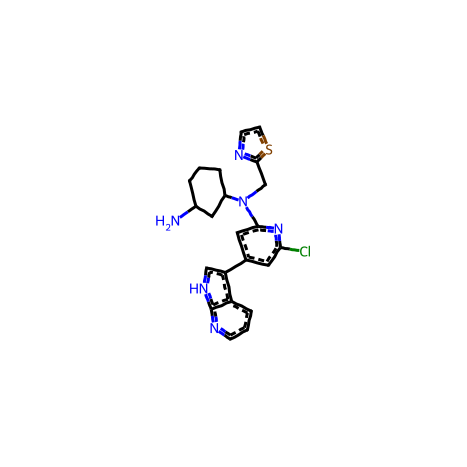 NC1CCCC(N(Cc2nccs2)c2cc(-c3c[nH]c4ncccc34)cc(Cl)n2)C1